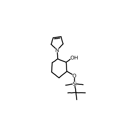 CC(C)(C)[Si](C)(C)OC1CCCC(N2CC=CC2)C1O